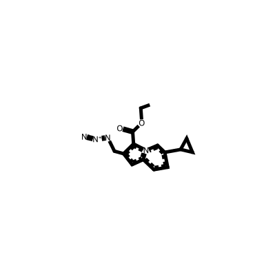 CCOC(=O)c1c(CN=[N+]=[N-])cc2ccc(C3CC3)cn12